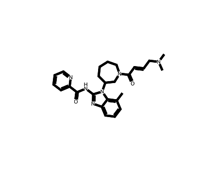 Cc1cccc2nc(NC(=O)c3ccccn3)n(C3CCCCN(C(=O)C=CCN(C)C)C3)c12